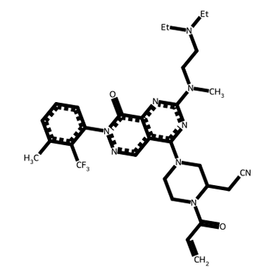 C=CC(=O)N1CCN(c2nc(N(C)CCN(CC)CC)nc3c(=O)n(-c4cccc(C)c4C(F)(F)F)ncc23)CC1CC#N